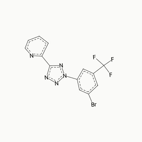 FC(F)(F)c1cc(Br)cc(-n2nnc(-c3ccccn3)n2)c1